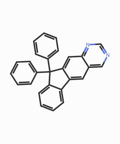 c1ccc(C2(c3ccccc3)c3ccccc3-c3cc4cncnc4cc32)cc1